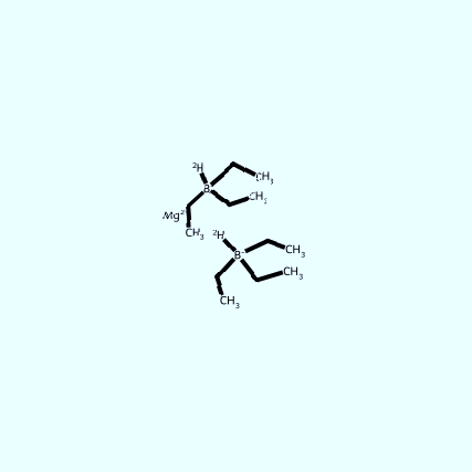 [2H][B-](CC)(CC)CC.[2H][B-](CC)(CC)CC.[Mg+2]